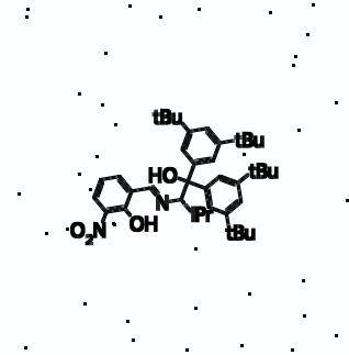 CC(C)C(N=Cc1cccc([N+](=O)[O-])c1O)C(O)(c1cc(C(C)(C)C)cc(C(C)(C)C)c1)c1cc(C(C)(C)C)cc(C(C)(C)C)c1